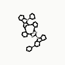 c1ccc(-c2ccc3c4ccccc4n(-c4nc5nc(n4)c4ccccc4c4cc(cc6c7ccccc7n(-c7ccccc7)c46)c4ccccc54)c3c2)cc1